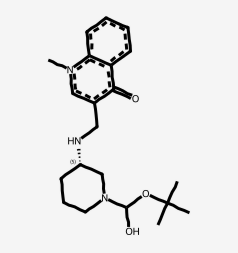 Cn1cc(CN[C@H]2CCCN(C(O)OC(C)(C)C)C2)c(=O)c2ccccc21